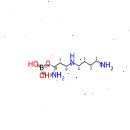 NCCCCNCCC(N)OB(O)O